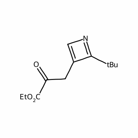 CCOC(=O)C(=O)CC1=CN=C1C(C)(C)C